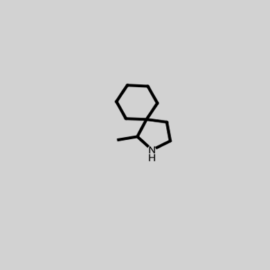 CC1NCCC12CCCCC2